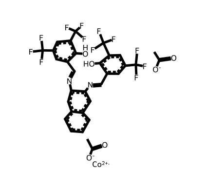 CC(=O)[O-].CC(=O)[O-].Oc1c(C=Nc2cc3ccccc3cc2N=Cc2cc(C(F)(F)F)cc(C(F)(F)F)c2O)cc(C(F)(F)F)cc1C(F)(F)F.[Co+2]